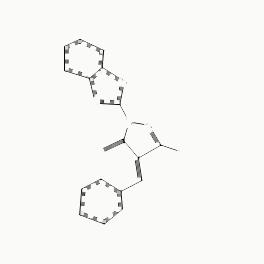 CC1=NN(c2nc3ccccc3s2)C(=O)C1=Cc1ccccc1